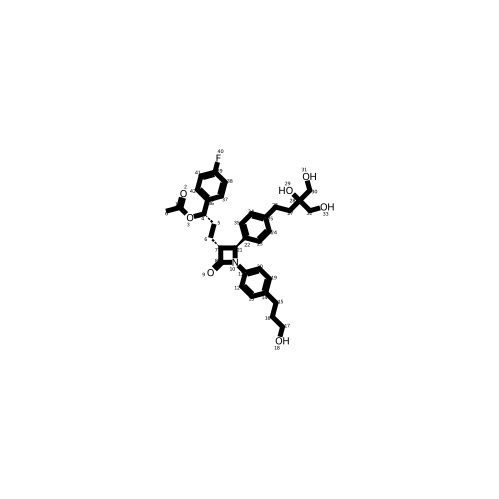 CC(=O)O[C@@H](CC[C@H]1C(=O)N(c2ccc(CCCO)cc2)[C@@H]1c1ccc(CCC(O)(CO)CO)cc1)c1ccc(F)cc1